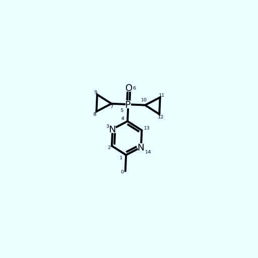 Cc1cnc(P(=O)(C2CC2)C2CC2)cn1